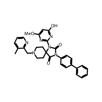 COc1cc(O)nc(N2C(=O)N(c3ccc(-c4ccccc4)cc3)C(=O)C23CCN(Cc2ncccc2C)CC3)n1